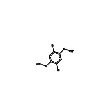 CCCOc1cc(Br)c(OCCC)cc1Br